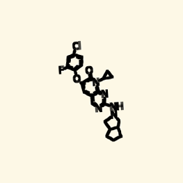 O=c1c(Oc2ccc(Cl)cc2F)cc2cnc(NN3CC4CCCC4C3)nc2n1C1CC1